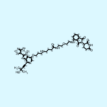 CCn1c(-c2nonc2N)nc2c(C#CC(C)(C)O)ncc(OCCCNCCCC(=O)NCCOCCNc3cccc4c3C(=O)N(C3CCC(=O)NC3=O)C4=O)c21